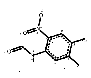 Cc1cc(NC=O)c([N+](=O)[O-])cc1C